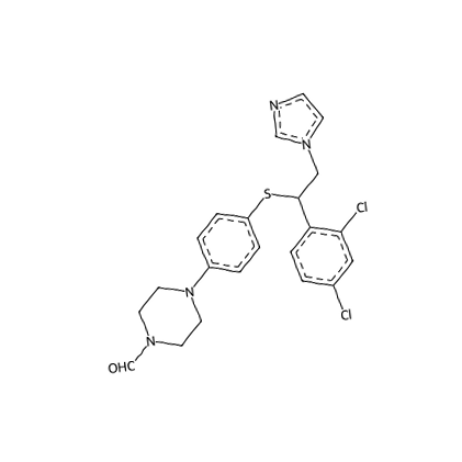 O=CN1CCN(c2ccc(SC(Cn3ccnc3)c3ccc(Cl)cc3Cl)cc2)CC1